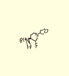 CC(C)NC1CCN(C2CCOC2)CC1F